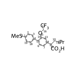 CSc1ccc(-c2ccc(C(CC(C)C)C(=O)O)cc2OCC(F)(F)F)cc1